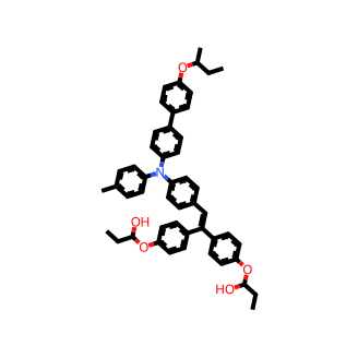 CCC(C)Oc1ccc(-c2ccc(N(c3ccc(C)cc3)c3ccc(C=C(c4ccc(OC(O)CC)cc4)c4ccc(OC(O)CC)cc4)cc3)cc2)cc1